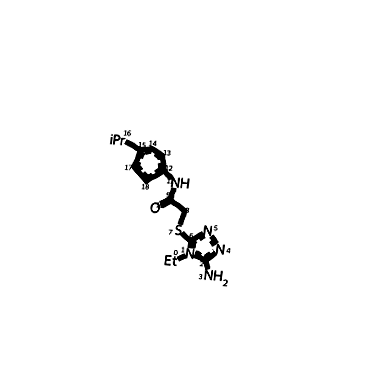 CCn1c(N)nnc1SCC(=O)Nc1ccc(C(C)C)cc1